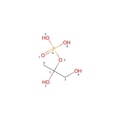 CC(O)(CO)OP(=O)(O)O